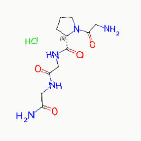 Cl.NCC(=O)N1CCC[C@H]1C(=O)NCC(=O)NCC(N)=O